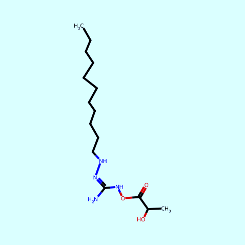 CCCCCCCCCCCNN=C(N)NOC(=O)C(C)O